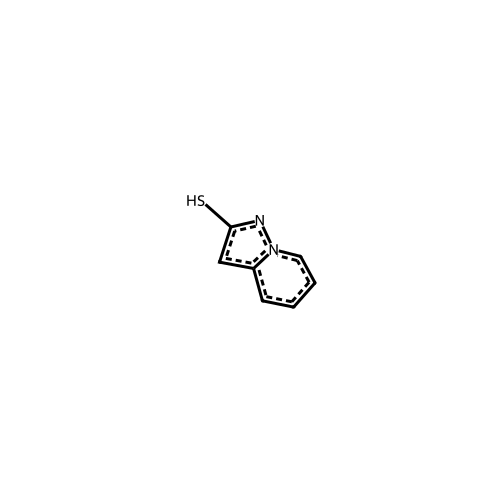 Sc1cc2ccccn2n1